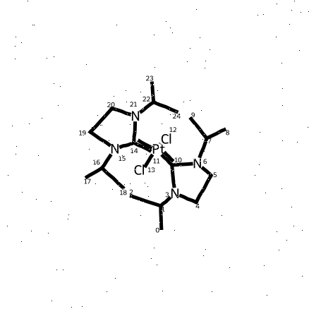 CC(C)N1CCN(C(C)C)[C]1=[Pt]([Cl])([Cl])=[C]1N(C(C)C)CCN1C(C)C